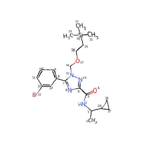 CC(NC(=O)c1nc(-c2cccc(Br)c2)n(COCC[Si](C)(C)C)n1)C1CC1